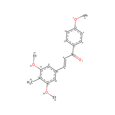 CCCOc1ccc(C(=O)C=Cc2cc(OCC)c(C)c(OCC)c2)cc1